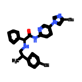 CC(CNC(C(=O)Nc1ccc(-n2cnc(C(C)(C)C)c2)cn1)c1ccccc1)c1ccc(C#N)cc1